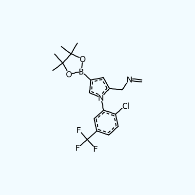 C=NCc1cc(B2OC(C)(C)C(C)(C)O2)cn1-c1cc(C(F)(F)F)ccc1Cl